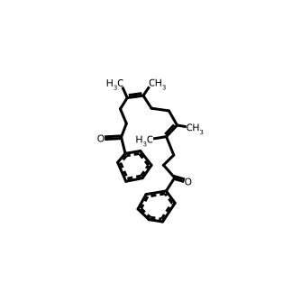 CC(CCC(=O)c1ccccc1)=C(C)CCC(C)=C(C)CCC(=O)c1ccccc1